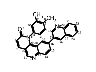 Cc1ccc(-n2c(=O)ccc3cnc4ccc(-c5cnc6ccccc6c5)cc4c32)cc1C